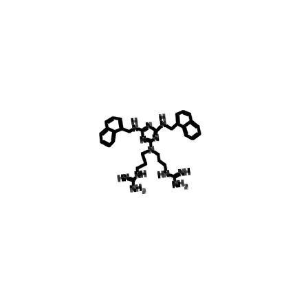 N=C(N)NCCCN(CCCNC(=N)N)c1nc(NCc2cccc3ccccc23)nc(NCc2cccc3ccccc23)n1